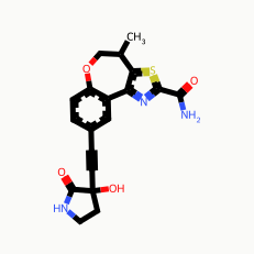 CC1COc2ccc(C#CC3(O)CCNC3=O)cc2-c2nc(C(N)=O)sc21